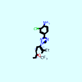 C\C=C(/C=C\C(=C(/C)CC)n1cnc(-c2ccc(N)c(Cl)c2)n1)OC(F)(F)F